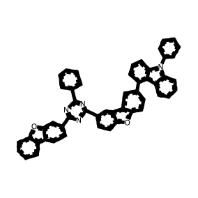 c1ccc(-c2nc(-c3ccc4c(c3)oc3ccccc34)nc(-c3ccc4oc5ccc(-c6cccc7c6c6ccccc6n7-c6ccccc6)cc5c4c3)n2)cc1